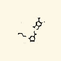 Br.CCOc1cc2c(cc1C(N)=O)C(=N)N(CC(=O)c1cc(OCCCC(N)=O)c(OC)c(C(C)(C)C)c1)C2